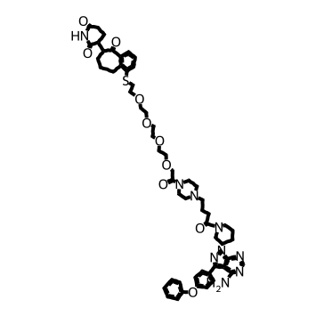 Nc1ncnc2c1c(-c1ccc(Oc3ccccc3)cc1)nn2[C@@H]1CCCN(C(=O)CCCN2CCN(C(=O)COCCOCCOCCOCCSc3cccc4c3CCCC(C3CCC(=O)NC3=O)C4=O)CC2)C1